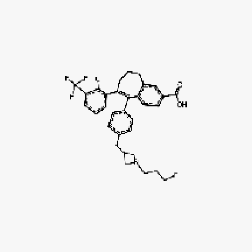 O=C(O)c1ccc2c(c1)CCCC(c1cccc(C(F)(F)F)c1Cl)=C2c1ccc(CC2CN(CCCF)C2)cc1